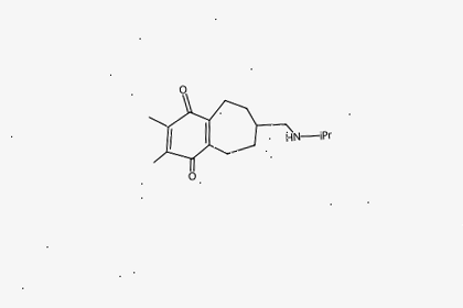 CC1=C(C)C(=O)C2=C(CCC(CNC(C)C)CC2)C1=O